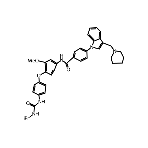 COc1cc(NC(=O)c2ccc(-n3cc(CN4CCCCC4)c4ccccc43)cc2)ccc1Oc1ccc(NC(=O)NC(C)C)cc1